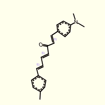 Cc1ccc(/C=C/C=C/C(=O)/C=C/c2ccc(N(C)C)cc2)cc1